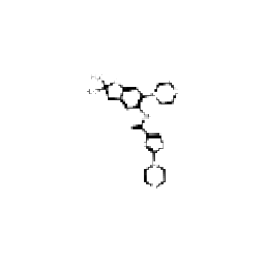 CC1(C)Cc2cc(NC(=O)c3csc(N4CCOCC4)n3)c(N3CCOCC3)cc2O1